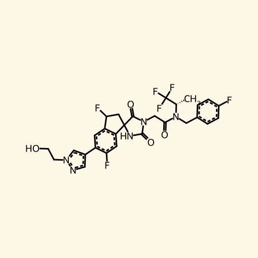 C[C@H](N(Cc1ccc(F)cc1)C(=O)CN1C(=O)NC2(CC(F)c3cc(-c4cnn(CCO)c4)c(F)cc32)C1=O)C(F)(F)F